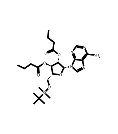 CCCC(=O)O[C@H]1[C@H](OC(=O)CCC)[C@@H](CO[Si](C)(C)C(C)(C)C)O[C@H]1n1cnc2c(N)ncnc21